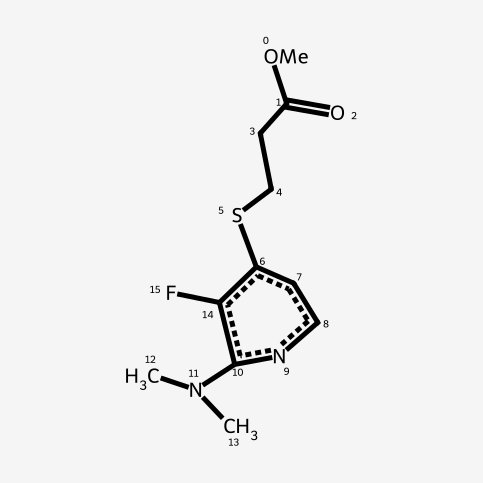 COC(=O)CCSc1ccnc(N(C)C)c1F